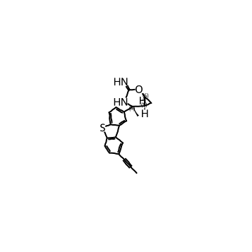 CC#Cc1ccc2sc3ccc([C@]4(C)NC(=N)O[C@H]5C[C@H]54)cc3c2c1